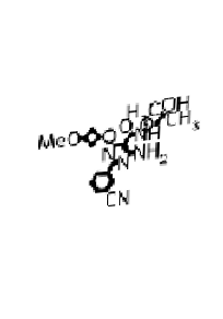 CO[C@H]1C[C@H](Oc2nc(-c3cccc(C#N)c3)nc(N)c2C(=O)NOCC(C)(C)O)C1